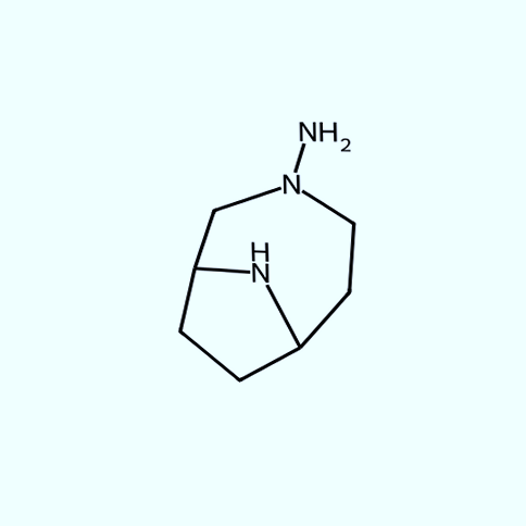 NN1CCC2CCC(C1)N2